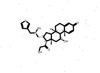 C[C@]12C=CC(=O)C=C1CC[C@@H]1C2[C@@H](O)C[C@@]2(C)C1C[C@@H](CN(O)Cc1ccsc1)[C@@H]2C(=O)CO